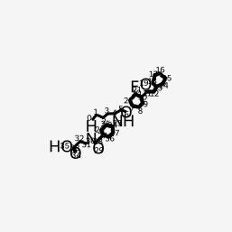 CCCCC(COc1ccc(-c2cc3ccccc3o2)c(F)c1)Nc1ccc(C(=O)NCCC(=O)O)cc1